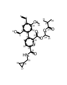 C=Cc1cc(C=O)c(-c2ccc(C(=O)NCC3CC3)nc2C(=O)OC(C)OC(=O)C(C)C)cc1OC